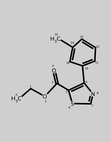 CCOC(=O)c1scnc1-c1cccc(C)c1